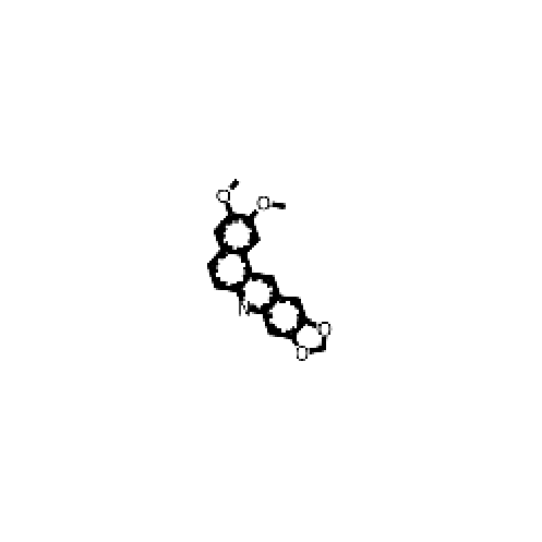 COc1cc2ccc3nc4cc5c(cc4cc3c2cc1OC)OCO5